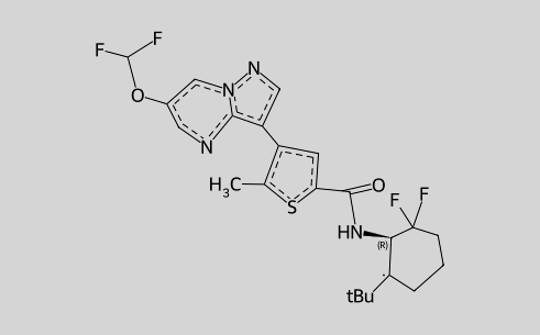 Cc1sc(C(=O)N[C@@H]2[C](C(C)(C)C)CCCC2(F)F)cc1-c1cnn2cc(OC(F)F)cnc12